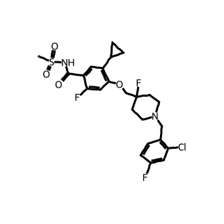 CS(=O)(=O)NC(=O)c1cc(C2CC2)c(OCC2(F)CCN(Cc3ccc(F)cc3Cl)CC2)cc1F